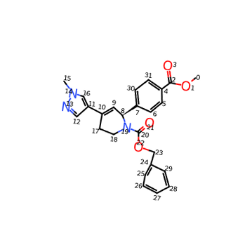 COC(=O)c1ccc([C@@H]2C=C(c3cnn(C)c3)CCN2C(=O)OCc2ccccc2)cc1